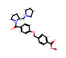 COC(=O)c1ccc(COc2ccc(C(=O)N3CCC[C@H]3CN3CCCC3)cc2)cc1